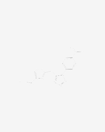 CN(C)c1ccc(-n2nnnc2Sc2nc(CC(=O)O)cs2)cc1